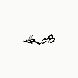 Clc1ccc2c(CCCN3CCN(c4cccc5c4OCCO5)CC3)c[nH]c2c1